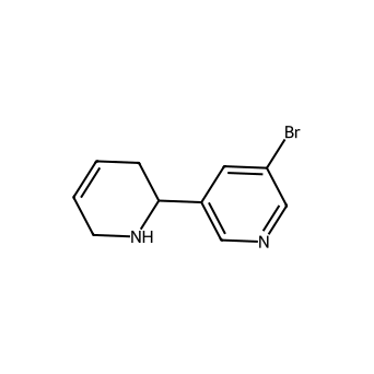 Brc1cncc(C2CC=CCN2)c1